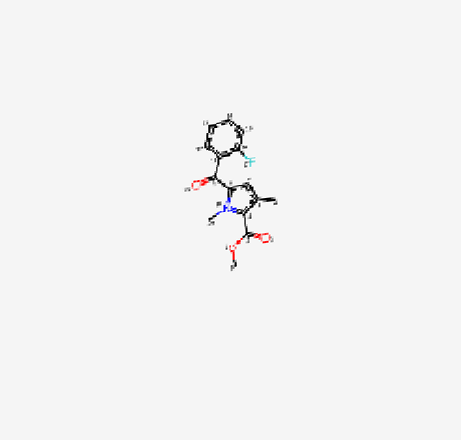 COC(=O)c1c(C)cc(C(=O)c2ccccc2F)n1C